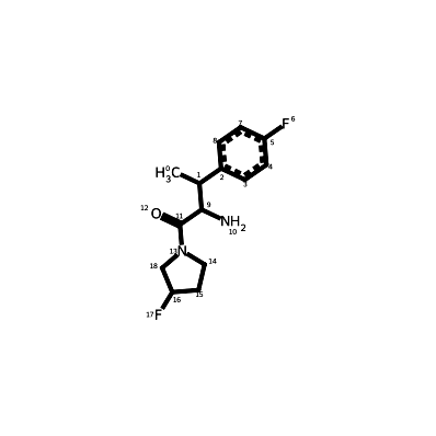 CC(c1ccc(F)cc1)C(N)C(=O)N1CCC(F)C1